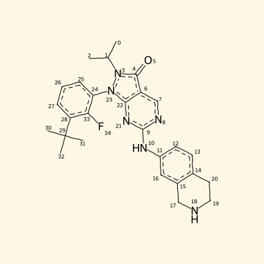 CC(C)n1c(=O)c2cnc(Nc3ccc4c(c3)CNCC4)nc2n1-c1cccc(C(C)(C)C)c1F